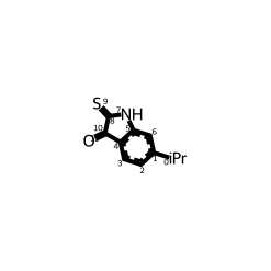 CC(C)c1ccc2c(c1)NC(=S)C2=O